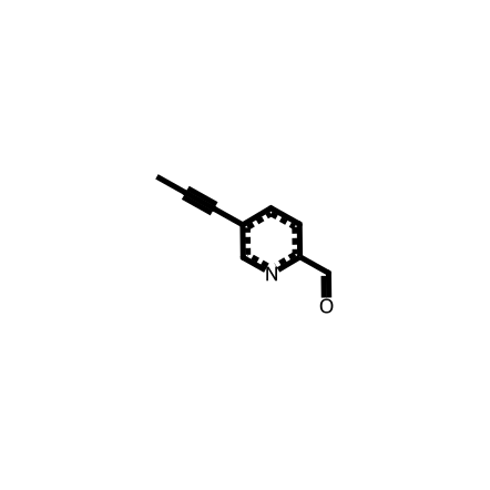 CC#Cc1ccc(C=O)nc1